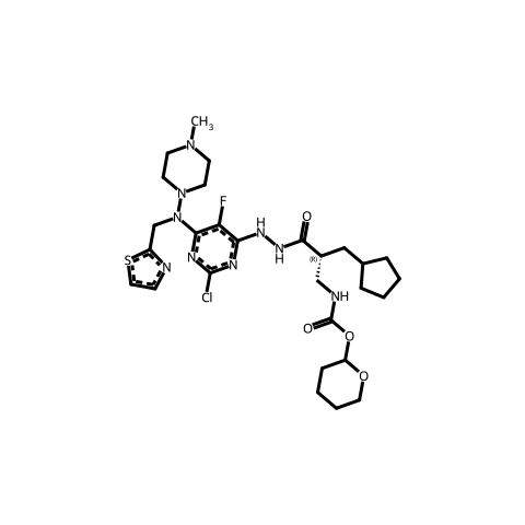 CN1CCN(N(Cc2nccs2)c2nc(Cl)nc(NNC(=O)[C@@H](CNC(=O)OC3CCCCO3)CC3CCCC3)c2F)CC1